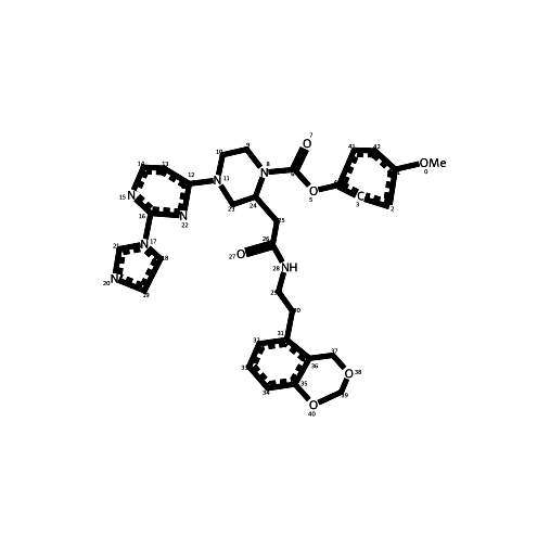 COc1ccc(OC(=O)N2CCN(c3ccnc(-n4ccnc4)n3)CC2CC(=O)NCCc2cccc3c2COCO3)cc1